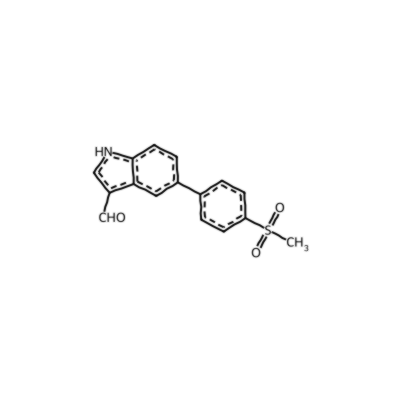 CS(=O)(=O)c1ccc(-c2ccc3[nH]cc(C=O)c3c2)cc1